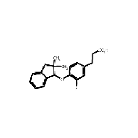 CC1(C)Cc2ccccc2C1Oc1ccc(CCC(=O)O)cc1F